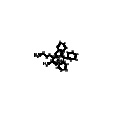 C[N@+](Cc1ccccc1)(C(=O)C(c1ccccc1)c1ccccc1)C(CCCN)C(N)=O